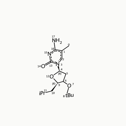 Cc1cn([C@H]2CC(OC(C)(C)C)[C@@H](CC(C)C)O2)c(=O)nc1N